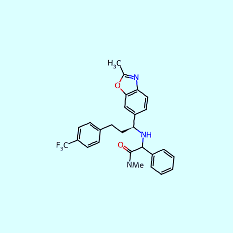 CNC(=O)C(N[C@@H](CCc1ccc(C(F)(F)F)cc1)c1ccc2nc(C)oc2c1)c1ccccc1